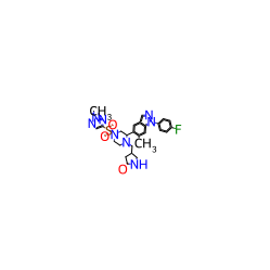 Cc1cc2c(cnn2-c2ccc(F)cc2)cc1C1CN(S(=O)(=O)c2cnn(C)n2)CCN1CC1CNC(=O)C1